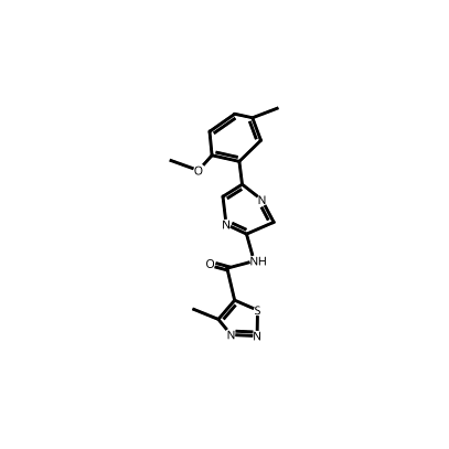 COc1ccc(C)cc1-c1cnc(NC(=O)c2snnc2C)cn1